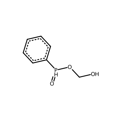 O=[PH](OCO)c1ccccc1